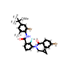 COC(c1cc(Br)c(NC(=O)c2cccc(N(CC3CC3)C(=O)c3ccc(Br)cc3)c2F)c(C(F)(F)F)c1)(C(F)(F)F)C(F)(F)F